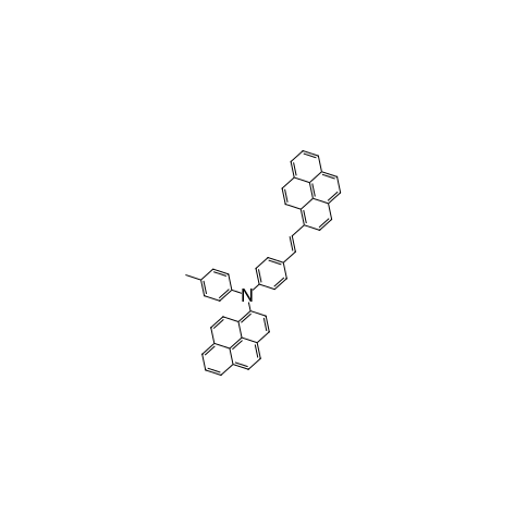 Cc1ccc(N(c2ccc(C=Cc3ccc4ccc5cccc6ccc3c4c56)cc2)c2ccc3ccc4cccc5ccc2c3c45)cc1